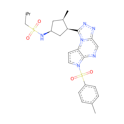 Cc1ccc(S(=O)(=O)n2ccc3c2ncc2nnc([C@H]4C[C@@H](NS(=O)(=O)CC(C)C)C[C@H]4C)n23)cc1